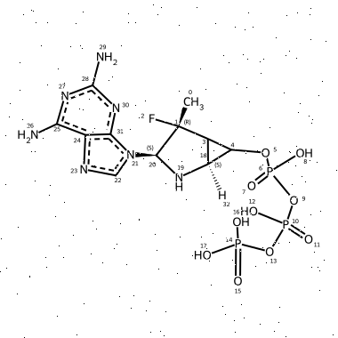 C[C@@]1(F)C2C(OP(=O)(O)OP(=O)(O)OP(=O)(O)O)[C@H]2N[C@H]1n1cnc2c(N)nc(N)nc21